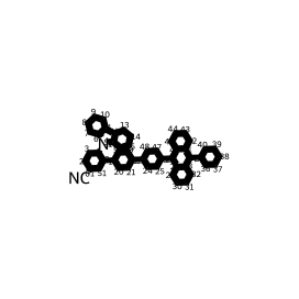 N#Cc1ccc(-n2c3ccccc3c3ccccc32)c(-c2ccc(-c3ccc(-c4c5ccccc5c(-c5ccccc5)c5ccccc45)cc3)cc2)c1